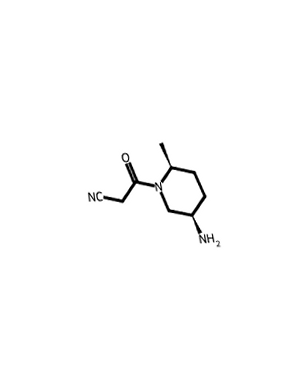 C[C@H]1CC[C@@H](N)CN1C(=O)CC#N